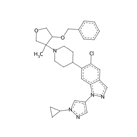 CC1(N2CCC(c3cc4c(cnn4-c4cnn(C5CC5)c4)cc3Cl)CC2)COCC1OCc1ccccc1